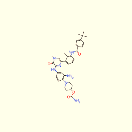 Cc1c(NC(=O)c2ccc(C(C)(C)C)cc2)cccc1-c1cn(C)c(=O)c(Nc2ccc(N3CCC(OC(N)=O)CC3)c(N)c2)n1